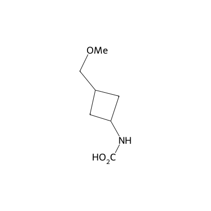 COCC1CC(NC(=O)O)C1